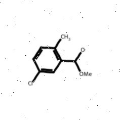 COC([O])c1cc(Cl)ccc1C